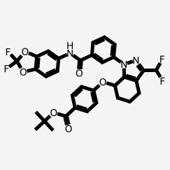 CC(C)(C)OC(=O)c1ccc(OC2CCCc3c(C(F)F)nn(-c4cccc(C(=O)Nc5ccc6c(c5)OC(F)(F)O6)c4)c32)cc1